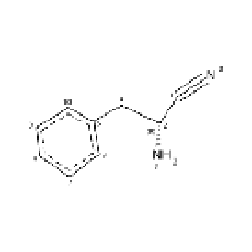 N#C[C@H](N)Cc1ccccc1